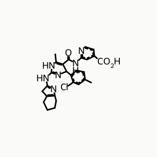 CC1=C(C(=O)Nc2cc(C(=O)O)ccn2)C(c2ccc(C)cc2Cl)N=C(NC2=NC3=C(CCCC3)C2)N1